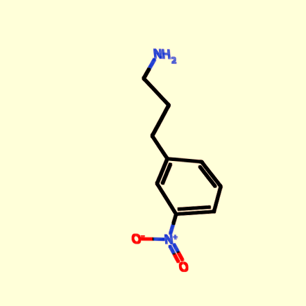 NCCCc1cccc([N+](=O)[O-])c1